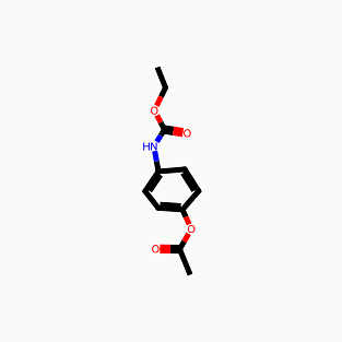 CCOC(=O)Nc1ccc(OC(C)=O)cc1